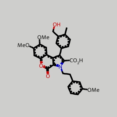 COc1cccc(CCn2c(C(=O)O)c(-c3ccc(C)c(CO)c3)c3c4cc(OC)c(OC)cc4oc(=O)c32)c1